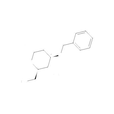 OC[C@H]1O[C@H](O)C[C@@H](OCc2ccccc2)[C@@H]1O